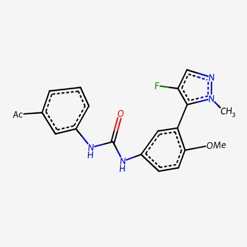 COc1ccc(NC(=O)Nc2cccc(C(C)=O)c2)cc1-c1c(F)cnn1C